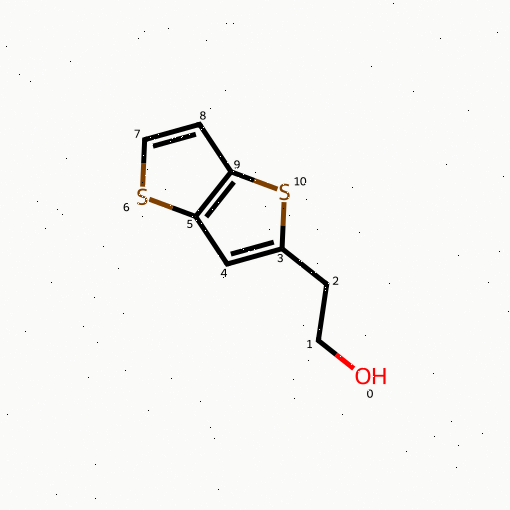 OCCc1cc2sccc2s1